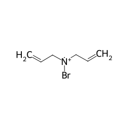 C=CC[N+](Br)CC=C